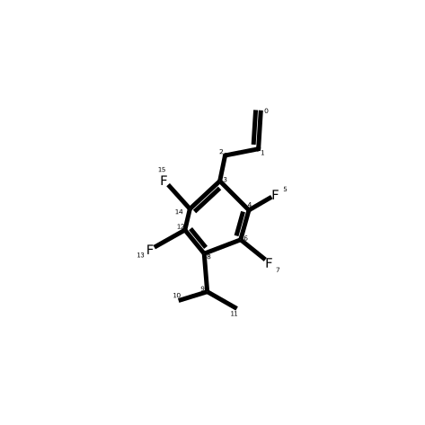 C=CCc1c(F)c(F)c(C(C)C)c(F)c1F